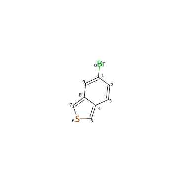 Brc1ccc2cs[c]c2c1